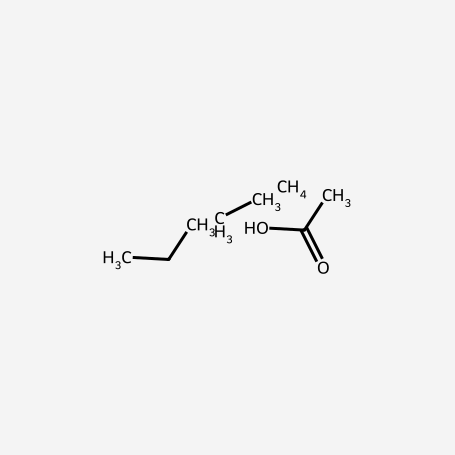 C.CC.CC(=O)O.CCC